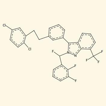 Fc1cccc(C(F)n2nc3c(C(F)(F)F)cccc3c2-c2cccc(CCc3cc(Cl)ccc3Cl)c2)c1F